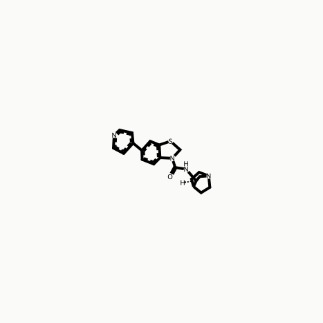 O=C(N[C@H]1CN2CCC1CC2)N1CSc2cc(-c3ccncc3)ccc21